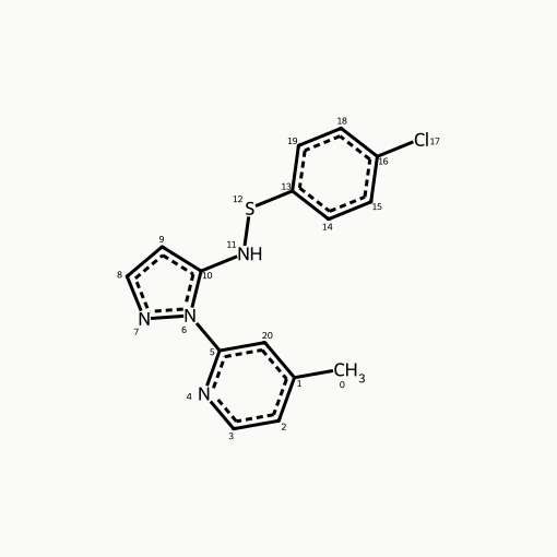 Cc1ccnc(-n2nccc2NSc2ccc(Cl)cc2)c1